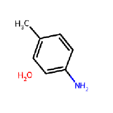 Cc1ccc(N)cc1.O